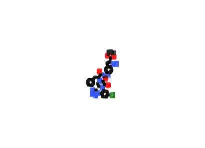 CC(C)(C)OC(=O)c1cc2cc(NC(=O)C(Cc3ccccc3)N3CCN(c4cc(Cl)ccc4-n4cnnn4)C(=O)C3=O)ccc2[nH]1